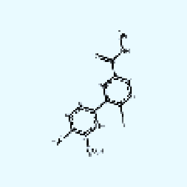 CCCNC(=O)c1ccc(F)c(-c2ccc(N)c(C(=O)O)n2)c1